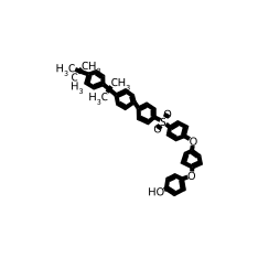 CC(C)(C)c1ccc(C(C)(C)c2ccc(-c3ccc(S(=O)(=O)c4ccc(Oc5ccc(Oc6ccc(O)cc6)cc5)cc4)cc3)cc2)cc1